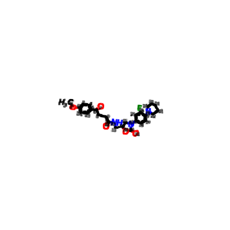 COc1ccc(C(=O)CCC(=O)NC[C@H]2CN(c3ccc(N4CCCCC4)c(F)c3)C(=O)O2)cc1